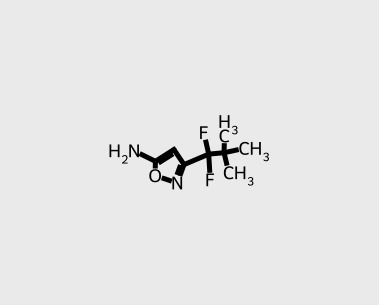 CC(C)(C)C(F)(F)c1cc(N)on1